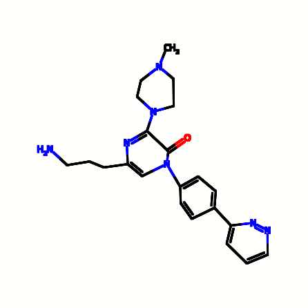 CN1CCN(c2nc(CCCN)cn(-c3ccc(-c4cccnn4)cc3)c2=O)CC1